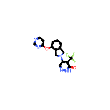 O=c1[nH]ncc(N2Cc3cccc(Oc4ccncn4)c3C2)c1C(F)(F)F